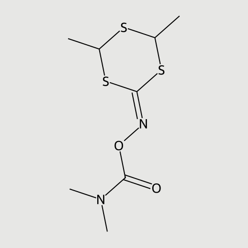 CC1SC(=NOC(=O)N(C)C)SC(C)S1